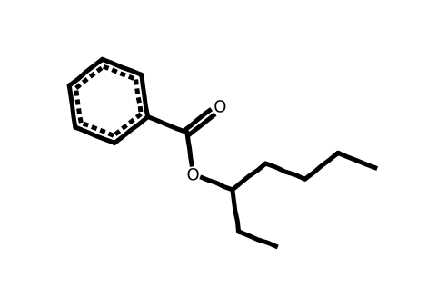 CCCCC(CC)OC(=O)c1ccccc1